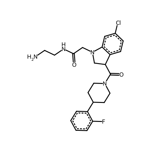 NCCNC(=O)CN1CC(C(=O)N2CCC(c3ccccc3F)CC2)c2ccc(Cl)cc21